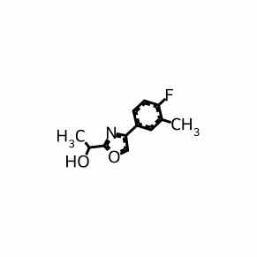 Cc1cc(-c2coc(C(C)O)n2)ccc1F